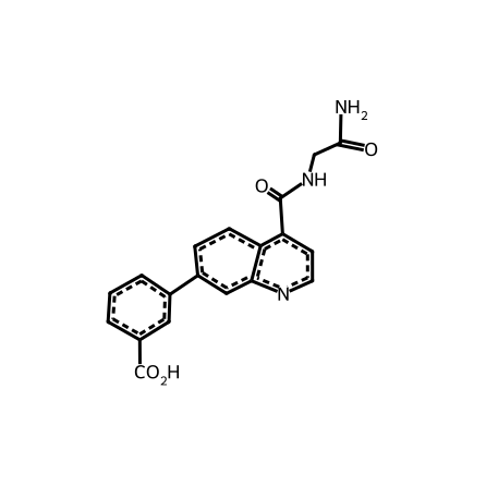 NC(=O)CNC(=O)c1ccnc2cc(-c3cccc(C(=O)O)c3)ccc12